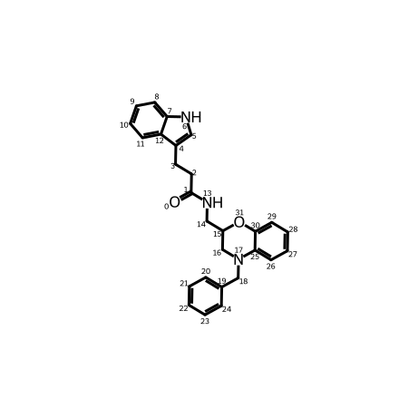 O=C(CCc1c[nH]c2ccccc12)NCC1CN(Cc2ccccc2)c2ccccc2O1